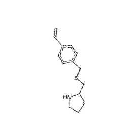 C=Cc1ccc(CSCC2CCCN2)cc1